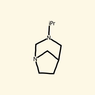 CC(C)N1CC2CCN(C2)C1